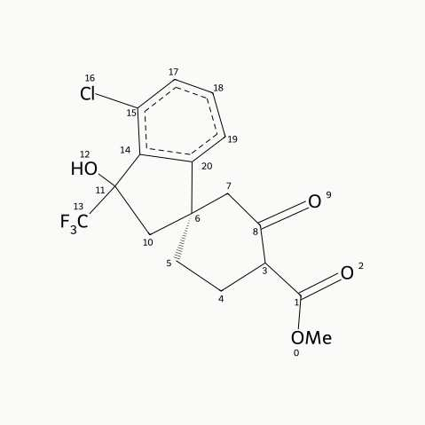 COC(=O)C1CC[C@]2(CC1=O)CC(O)(C(F)(F)F)c1c(Cl)cccc12